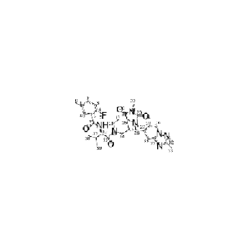 Cc1ccc(F)c(C(=O)N[C@@H](C(=O)N2CCC3(CC2)C(=O)N(C)C(=O)N3Cc2ccn3nc(C)nc3c2)C(C)C)c1